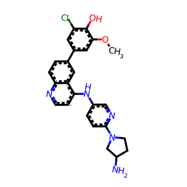 COc1cc(-c2ccc3nc[c]c(Nc4ccc(N5CCC(N)C5)nc4)c3c2)cc(Cl)c1O